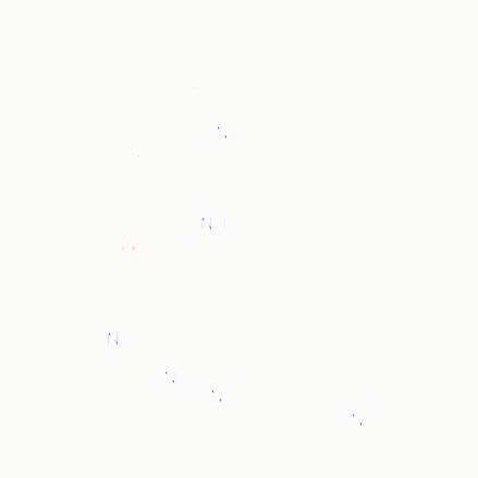 Cc1csc(NC(=O)c2cc(-c3cnccc3C)nn3ccnc23)n1